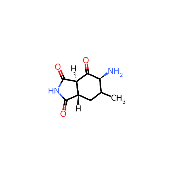 CC1C[C@@H]2C(=O)NC(=O)[C@H]2C(=O)[C@H]1N